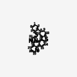 c1ccc2c(c1)sc1c2ccc2sc3ccc4c5ncccc5c5nccn5c4c3c21